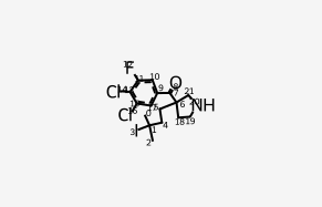 CC(C)(I)CCC1(C(=O)c2cc(F)c(Cl)c(Cl)c2)CCNC1